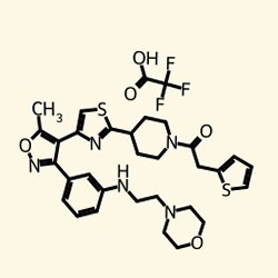 Cc1onc(-c2cccc(NCCN3CCOCC3)c2)c1-c1csc(C2CCN(C(=O)Cc3cccs3)CC2)n1.O=C(O)C(F)(F)F